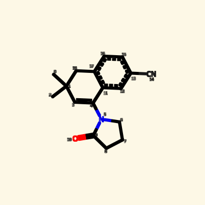 CC1(C)C=C(N2CCCC2=O)c2cc(C#N)ccc2C1